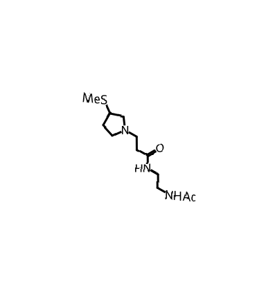 CSC1CCN(CCC(=O)NCCNC(C)=O)C1